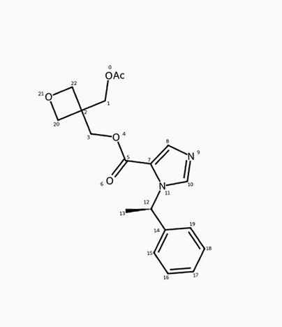 CC(=O)OCC1(COC(=O)c2cncn2[C@H](C)c2ccccc2)COC1